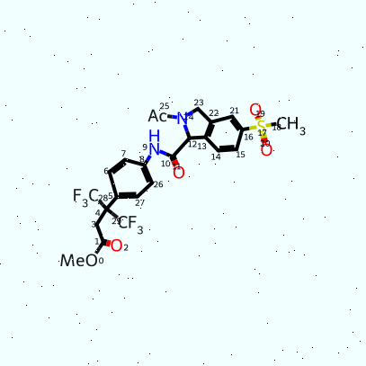 COC(=O)CC(c1ccc(NC(=O)C2c3ccc(S(C)(=O)=O)cc3CN2C(C)=O)cc1)(C(F)(F)F)C(F)(F)F